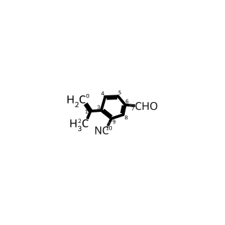 C=C(C)c1ccc(C=O)cc1C#N